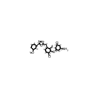 COc1cccc(-c2nnc(Cc3ccc(Cl)c(Oc4cc(N)cc(Cl)c4)c3F)o2)c1